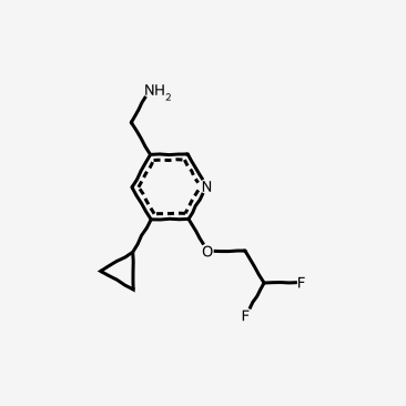 NCc1cnc(OCC(F)F)c(C2CC2)c1